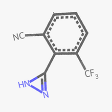 N#Cc1[c]ccc(C(F)(F)F)c1C1=NN1